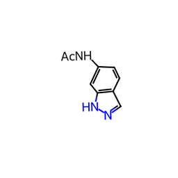 CC(=O)Nc1ccc2cn[nH]c2c1